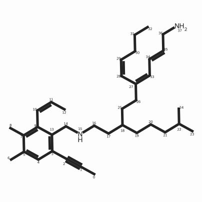 CC#Cc1cc(C)c(C)c(/C=C\C)c1CNCCC(CCCC(C)C)CCC(/C=C\CCC)=C/C=C/CN